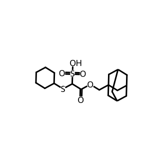 O=C(OCC12CC3CC(CC(C3)C1)C2)C(SC1CCCCC1)S(=O)(=O)O